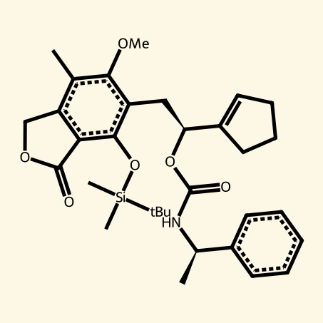 COc1c(C)c2c(c(O[Si](C)(C)C(C)(C)C)c1C[C@H](OC(=O)N[C@H](C)c1ccccc1)C1=CCCC1)C(=O)OC2